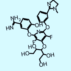 CN1CCN=C1c1cccc(Oc2nc(Oc3cc(C(=N)N)ccc3O)c(F)c(OC(C(O)CO)C(O)CO)c2F)c1